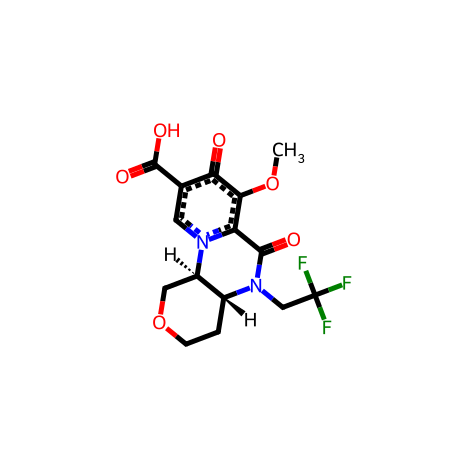 COc1c2n(cc(C(=O)O)c1=O)[C@@H]1COCC[C@H]1N(CC(F)(F)F)C2=O